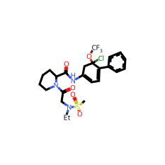 CCN(CC(=O)N1CCCCC1C(=O)NC1=CC=C(c2ccccc2)C(Cl)(OC(F)(F)F)C1)S(C)(=O)=O